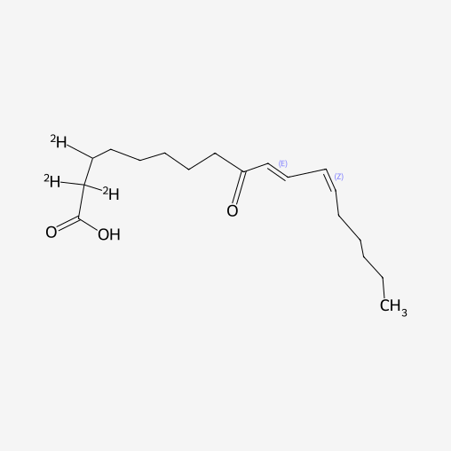 [2H]C(CCCCCC(=O)/C=C/C=C\CCCCC)C([2H])([2H])C(=O)O